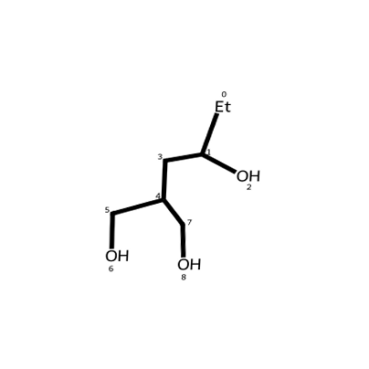 CCC(O)CC(CO)CO